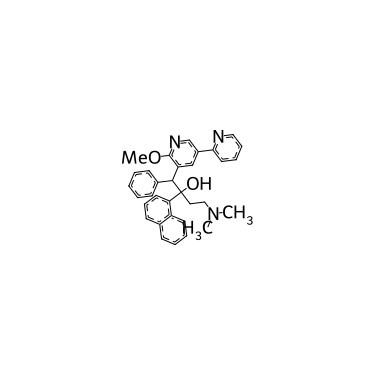 COc1ncc(-c2ccccn2)cc1C(c1ccccc1)C(O)(CCN(C)C)c1cccc2ccccc12